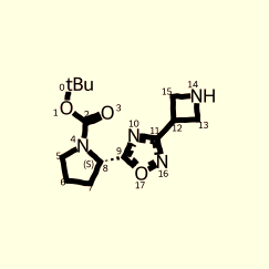 CC(C)(C)OC(=O)N1CCC[C@H]1c1nc(C2CNC2)no1